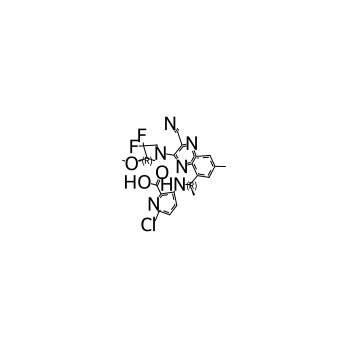 CO[C@@H]1CN(c2nc3c([C@@H](C)Nc4ccc(Cl)nc4C(=O)O)cc(C)cc3nc2C#N)CC1(F)F